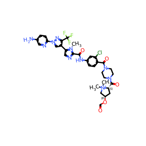 Cn1c(-c2cn(-c3ccc(N)cn3)nc2C(F)(F)F)cnc1C(=O)Nc1ccc(C(=O)N2CCN(C(=O)[C@@H]3C[C@@H](OC=O)C[N+]3(C)C)CC2)c(Cl)c1